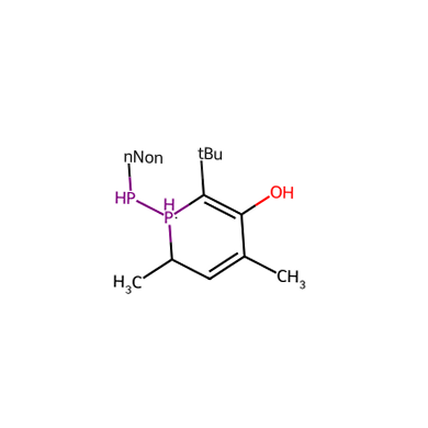 CCCCCCCCCP[PH]1C(C(C)(C)C)=C(O)C(C)=CC1C